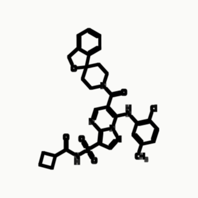 Cc1ccc(Cl)c(Nc2c(C(=O)N3CCC4(CC3)OCc3ccccc34)cnc3c(S(=O)(=O)NC(=O)C4CCC4)cnn23)c1